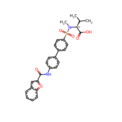 CC(C)[C@@H](C(=O)O)N(C)S(=O)(=O)c1ccc(-c2ccc(NC(=O)c3cc4ccccc4o3)cc2)cc1